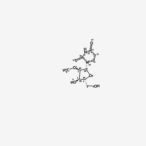 CO[C@@H]1[C@H](O)[C@@H](CO)O[C@H]1n1ccc(=O)[nH]c1=S